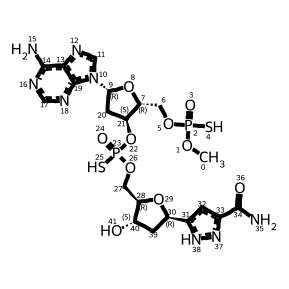 COP(=O)(S)OC[C@H]1O[C@@H](n2cnc3c(N)ncnc32)C[C@@H]1OP(=O)(S)OC[C@H]1O[C@@H](c2cc(C(N)=O)n[nH]2)C[C@@H]1O